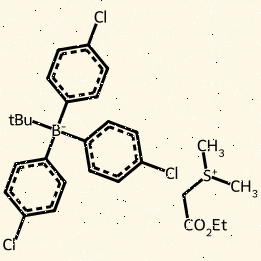 CC(C)(C)[B-](c1ccc(Cl)cc1)(c1ccc(Cl)cc1)c1ccc(Cl)cc1.CCOC(=O)C[S+](C)C